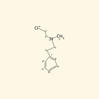 CN(CCCl)CCc1ccccc1